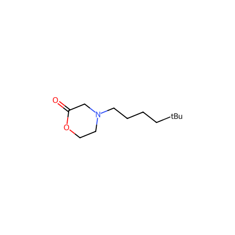 CC(C)(C)CCCCN1CCOC(=O)C1